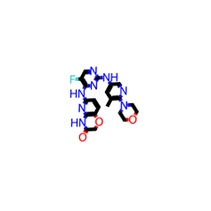 Cc1cc(Nc2ncc(F)c(Nc3ccc4c(n3)NC(=O)CO4)n2)cnc1N1CCOCC1